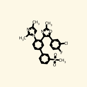 Cc1cn(-c2ccc(-c3cccc(S(C)(=O)=O)c3)cc2-c2nc(C)oc2-c2ccc(F)c(Cl)c2)c(C)n1